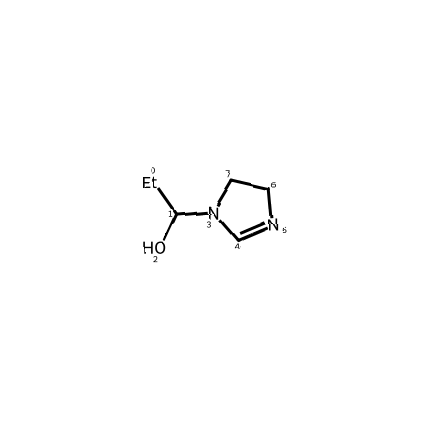 CCC(O)N1C=NCC1